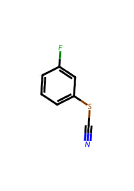 N#CSc1cc[c]c(F)c1